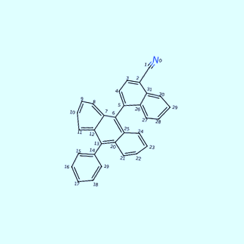 N#Cc1ccc(-c2c3ccccc3c(-c3ccccc3)c3ccccc23)c2ccccc12